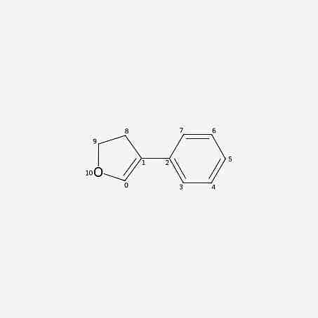 C1=C(c2ccccc2)CCO1